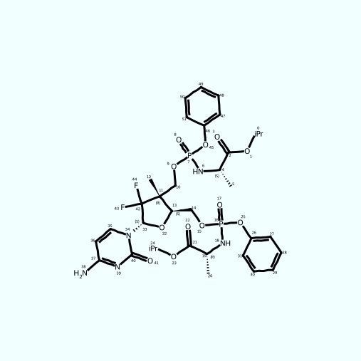 CC(C)OC(=O)[C@H](C)NP(=O)(OC[C@]1(C)[C@@H](COP(=O)(N[C@H](C)C(=O)OC(C)C)Oc2ccccc2)O[C@H](n2ccc(N)nc2=O)C1(F)F)Oc1ccccc1